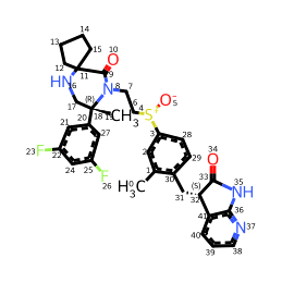 Cc1cc([S+]([O-])CCN2C(=O)C3(CCCC3)NC[C@@]2(C)c2cc(F)cc(F)c2)ccc1C[C@@H]1C(=O)Nc2ncccc21